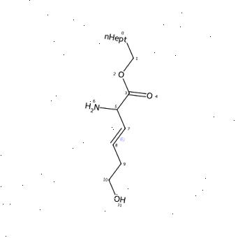 CCCCCCCCOC(=O)C(N)/C=C/CCO